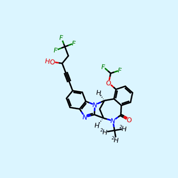 [2H]C([2H])([2H])N1C(=O)c2cccc(OC(F)F)c2[C@H]2C[C@@H]1c1nc3ccc(C#CC(O)CC(F)(F)F)cc3n12